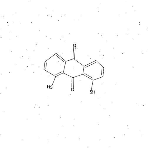 O=C1c2cccc(S)c2C(=O)c2c(S)cccc21